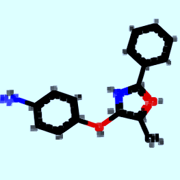 Cc1oc(-c2ccccc2)nc1Oc1ccc(N)cc1